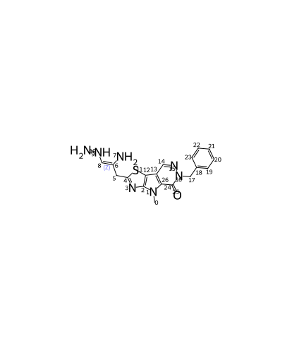 Cn1c2nc(C/C(N)=C/NN)sc2c2cnn(Cc3ccccc3)c(=O)c21